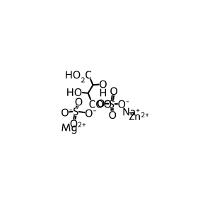 O=C([O-])C(O)C(O)C(=O)O.O=S(=O)([O-])[O-].O=S(=O)([O-])[O-].[Mg+2].[Na+].[Zn+2]